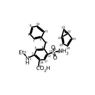 CCNc1cc(Cc2ccccc2)c(S(N)(=O)=O)cc1C(=O)O.c1cc2cc-2c1